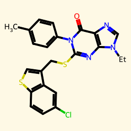 CCn1cnc2c(=O)n(-c3ccc(C)cc3)c(SCc3csc4ccc(Cl)cc34)nc21